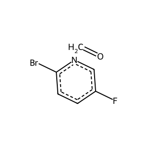 C=O.Fc1ccc(Br)nc1